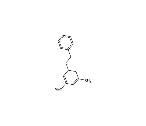 COC1=CC(CCc2ccccc2)CC(C)=C1